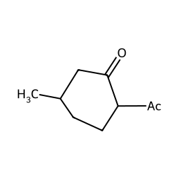 CC(=O)C1CCC(C)CC1=O